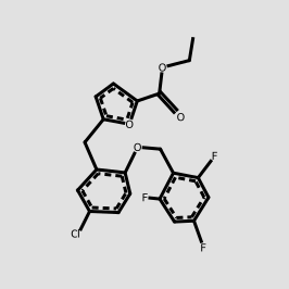 CCOC(=O)c1ccc(Cc2cc(Cl)ccc2OCc2c(F)cc(F)cc2F)o1